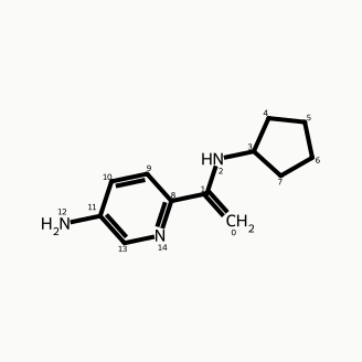 C=C(NC1CCCC1)c1ccc(N)cn1